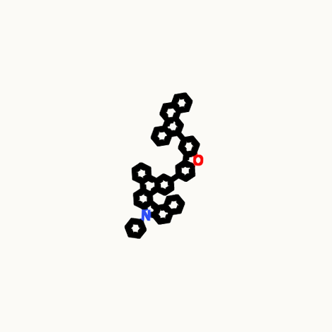 c1ccc(-n2c3ccc4ccccc4c3c3c4c(ccc32)c2ccccc2c2cc(-c3ccc5oc6ccc(-c7cc8c9ccccc9ccc8c8ccccc78)cc6c5c3)ccc24)cc1